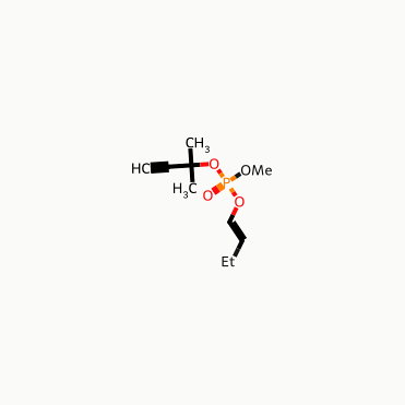 C#CC(C)(C)OP(=O)(OC)OC=CCC